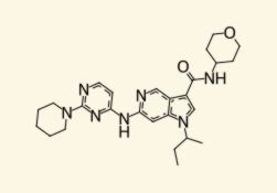 CCC(C)n1cc(C(=O)NC2CCOCC2)c2cnc(Nc3ccnc(N4CCCCC4)n3)cc21